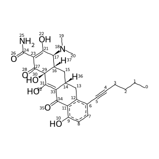 CCCCC#Cc1ccc(O)c2c1C[C@H]1C[C@H]3[C@H](N(C)C)C(O)=C(C(N)=O)C(=O)[C@@]3(O)C(O)=C1C2=O